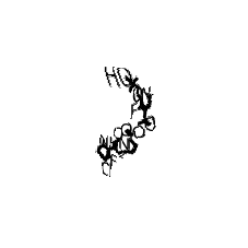 CC(C)(O)COc1nccc(C(=O)COC(=O)[C@@H]2CCC3CC(c4c(N)ccc(Cl)c4F)=CC(=O)N32)c1F